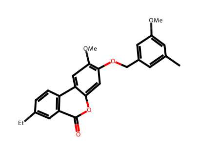 CCc1ccc2c(c1)c(=O)oc1cc(OCc3cc(C)cc(OC)c3)c(OC)cc12